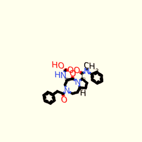 CN(C(=O)[C@@H]1CC[C@@H]2CCN(C(=O)Cc3ccccc3)C[C@H](NC(=O)O)C(=O)N21)c1ccccc1